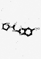 O=Cc1ccc2nc(NC(=O)[C@H]3CCCN3)sc2c1